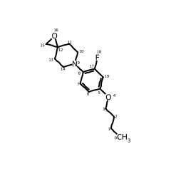 CCCCOc1ccc(N2CCC3(CC2)CO3)c(F)c1